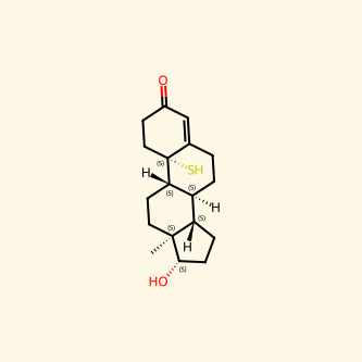 C[C@]12CC[C@H]3[C@@H](CCC4=CC(=O)CC[C@@]43S)[C@@H]1CC[C@@H]2O